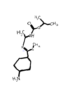 CS/C(=N\C(C)NC(=O)OC(C)C)C1CCC(N)CC1